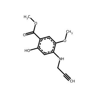 C#CCNc1cc(O)c(C(=O)OC)cc1OC